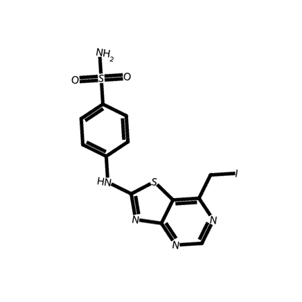 NS(=O)(=O)c1ccc(Nc2nc3ncnc(CI)c3s2)cc1